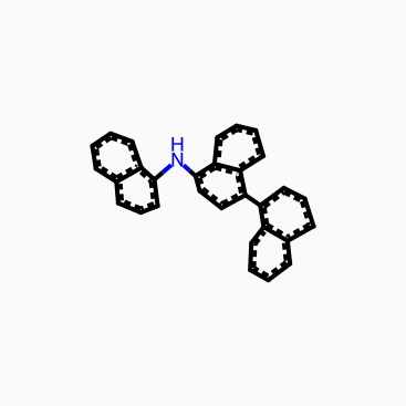 c1ccc2c(Nc3ccc(-c4cccc5ccccc45)c4ccccc34)cccc2c1